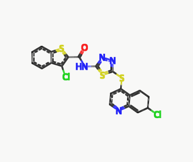 O=C(Nc1nnc(Sc2ccnc3c2=CCC(Cl)C=3)s1)c1sc2ccccc2c1Cl